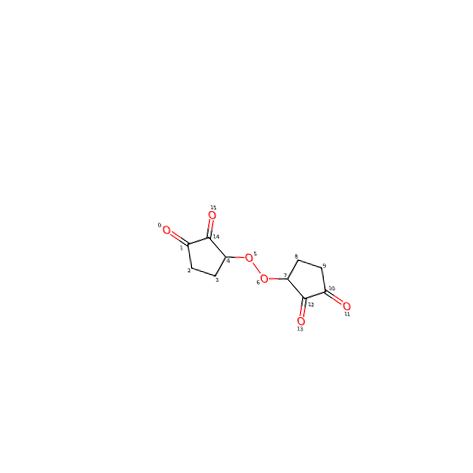 O=C1CCC(OOC2CCC(=O)C2=O)C1=O